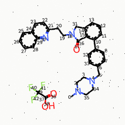 CN1CCN(Cc2ccc(-c3cccc4c3C(=O)N(CCc3ccc5ccccc5n3)C4)cc2)CC1.O=C(O)C(F)(F)F